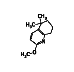 COc1ccc2c(n1)CCCC2(C)C